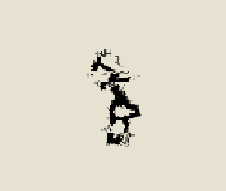 NC(=O)NS(=O)(=O)c1ccc2[nH]cnc2c1